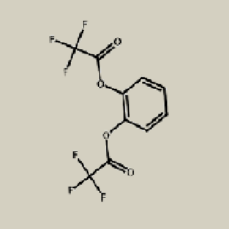 O=C(Oc1[c]cccc1OC(=O)C(F)(F)F)C(F)(F)F